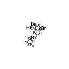 Cc1cc(C)cc(NCc2ccc3c(Br)cc(Br)c(O)c3n2)c1